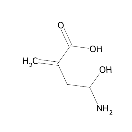 C=C(CC(N)O)C(=O)O